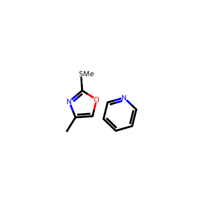 CSc1nc(C)co1.c1ccncc1